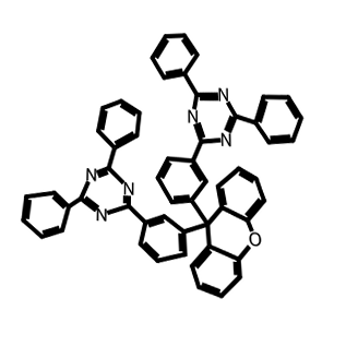 c1ccc(-c2nc(-c3ccccc3)nc(-c3cccc(C4(c5cccc(-c6nc(-c7ccccc7)nc(-c7ccccc7)n6)c5)c5ccccc5Oc5ccccc54)c3)n2)cc1